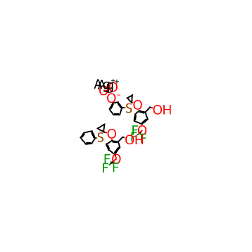 O=C([O-])[O-].OCc1cc(OC(F)(F)F)ccc1OC1(Sc2ccccc2)CC1.OCc1cc(OC(F)(F)F)ccc1OC1(Sc2ccccc2)CC1.[Ag+].[Ag+]